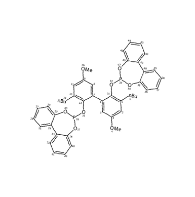 CCCCc1cc(OC)cc(-c2cc(OC)cc(CCCC)c2Op2oc3ccccc3c3ccccc3o2)c1Op1oc2ccccc2c2ccccc2o1